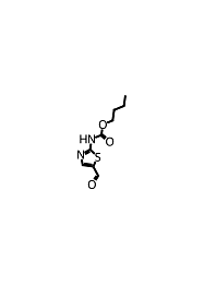 CCCCOC(=O)Nc1ncc(C=O)s1